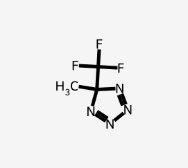 CC1(C(F)(F)F)N=NN=N1